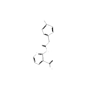 O=C(Cc1ccc(Cl)cc1)Nc1ncccc1C(=O)O